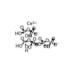 O=P(O)(O)[O][W](=[O])(=[O])[O-].O=P(O)(O)[O][W](=[O])(=[O])[O-].O=P(O)(O)[O][W](=[O])(=[O])[O-].[Ce+3]